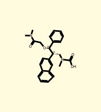 CN(C)C(=O)CO[C@H](c1ccccc1)[C@H](CN(C)C(=O)O)c1ccc2ccccc2c1